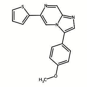 COc1ccc(-c2cnc3cnc(-c4cccs4)cn23)cc1